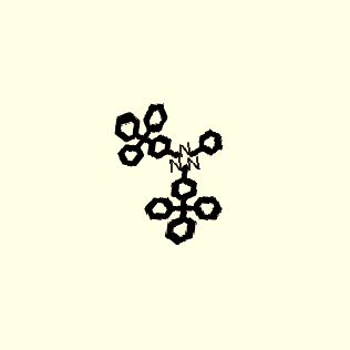 c1ccc(-c2nc(-c3ccc(C(c4ccccc4)(c4ccccc4)c4ccccc4)cc3)nc(-c3ccc(C(c4ccccc4)(c4ccccc4)c4ccccc4)cc3)n2)cc1